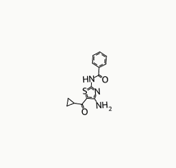 Nc1nc(NC(=O)c2ccccc2)sc1C(=O)C1CC1